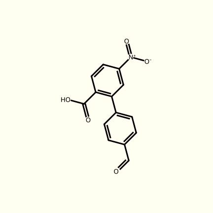 O=Cc1ccc(-c2cc([N+](=O)[O-])ccc2C(=O)O)cc1